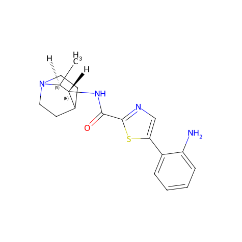 C[C@H]1[C@H](NC(=O)c2ncc(-c3ccccc3N)s2)C2CCN1CC2